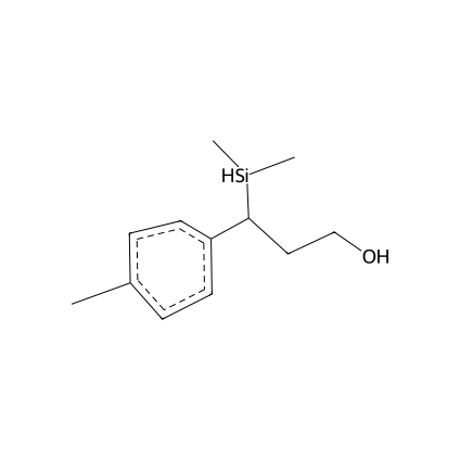 Cc1ccc(C(CCO)[SiH](C)C)cc1